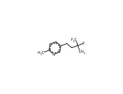 Cc1ccc(CCC(C)(F)C(F)(F)F)cn1